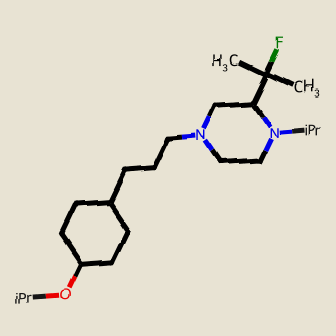 CC(C)OC1CCC(CCCN2CCN(C(C)C)C(C(C)(C)F)C2)CC1